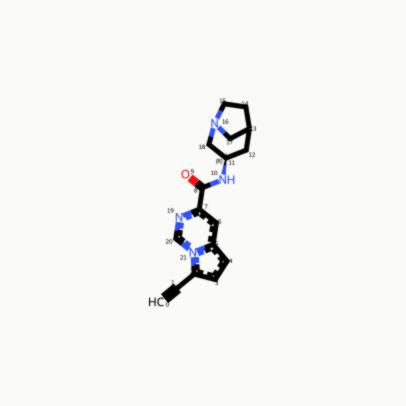 C#Cc1ccc2cc(C(=O)N[C@@H]3CC4CCN(C4)C3)ncn12